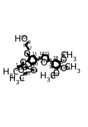 CCCOc1c(OCCCO)cc([C@H]2CC[C@H](c3cc(OC)c(OC)c(OC)c3)O2)cc1S(=O)(=O)CC(C)=O